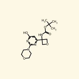 CC(C)(C)OC(=O)NC1(c2cc(O)nc(N3CCOCC3)n2)COC1